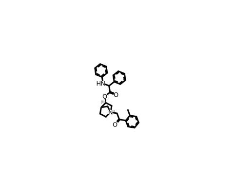 Cc1ccccc1C(=O)C[N+]12CCC(C1)[C@@H](OC(=O)C(Nc1ccccc1)c1ccccc1)C2